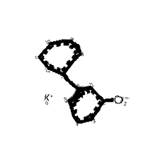 [K+].[O-]c1cccc(-c2ccccc2)c1